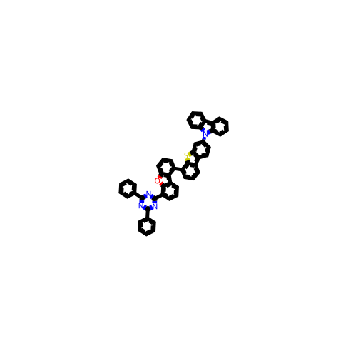 c1ccc(-c2nc(-c3ccccc3)nc(-c3cccc4c3oc3cccc(-c5cccc6c5sc5cc(-n7c8ccccc8c8ccccc87)ccc56)c34)n2)cc1